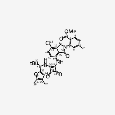 COC(=O)c1ccc(C)cc1N1Cc2c(Cl)ccc(Nc3c(N[C@@H](c4cc(C)c(C)o4)C(C)(C)C)c(=O)c3=O)c2C1=O